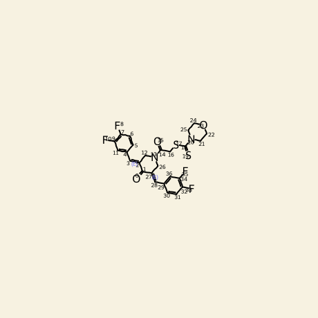 O=C1/C(=C/c2ccc(F)c(F)c2)CN(C(=O)CSC(=S)N2CCOCC2)C/C1=C\c1ccc(F)c(F)c1